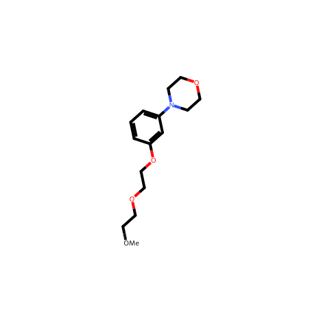 COCCOCCOc1cccc(N2CCOCC2)c1